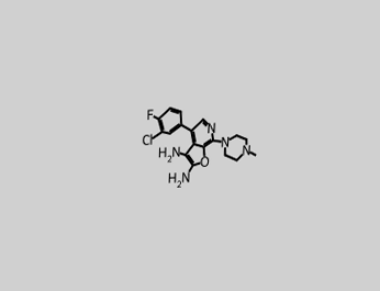 CN1CCN(c2ncc(-c3ccc(F)c(Cl)c3)c3c(N)c(N)oc23)CC1